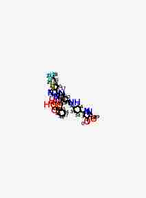 COc1cc(-c2ccc(CN[C@H]3C[C@@H](O)[C@@H](N(C)c4ncnc5sc(CC(F)(F)F)cc45)C3)cc2)nnc1OC.O=S(=O)(O)c1ccccc1